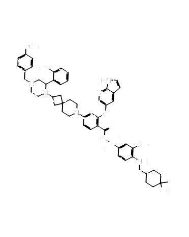 CC(C)COc1ccc(CN2CCN(C3CC4(CCN(c5ccc(C(=O)NS(=O)(=O)c6ccc(NCC7CCC(C)(O)CC7)c([N+](=O)[O-])c6)c(Oc6cnc7[nH]ccc7c6)c5)CC4)C3)C(c3ccccc3C(C)C)C2)cc1